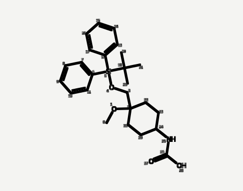 COC1(CO[Si](c2ccccc2)(c2ccccc2)C(C)(C)C)CCC(NC(=O)O)CC1